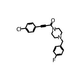 O=C(C#Cc1ccc(Cl)cc1)N1CCN(Cc2ccc(F)cc2)CC1